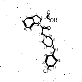 O=C(O)[C@H]1Cc2ccccc2N1C(=O)CN1CCN(Cc2ccc(Cl)cc2)CC1